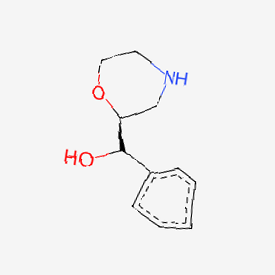 OC(c1ccccc1)[C@@H]1CNCCO1